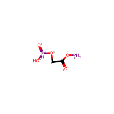 O=C(CO[PH](=O)O)OP